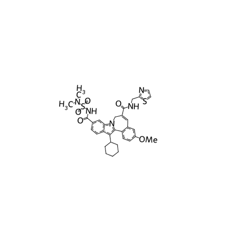 COc1ccc2c(c1)C=C(C(=O)NCc1nccs1)Cn1c-2c(C2CCCCC2)c2ccc(C(=O)NS(=O)(=O)N(C)C)cc21